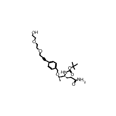 C[C@@H](OCc1ccc(C#CCOCCOCCO)cc1)[C@H](CCC(N)=O)NC(=O)OC(C)(C)C